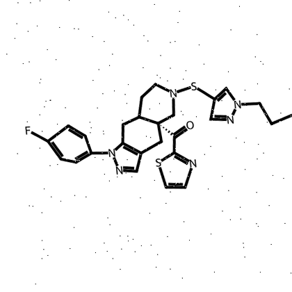 CCCn1cc(SN2CCC3Cc4c(cnn4-c4ccc(F)cc4)C[C@]3(C(=O)c3nccs3)C2)cn1